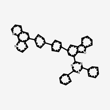 c1ccc(-c2nc(-c3ccccc3)nc(-c3cc(-c4ccc(-c5ccc(-c6cc7cccnc7c7ncccc67)cc5)cc4)cc4c3oc3ccccc34)n2)cc1